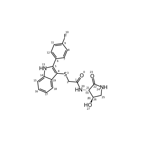 O=C(CSc1c(-c2ccc(F)cc2)[nH]c2ccccc12)N[C@@H]1C(=O)NC[C@H]1O